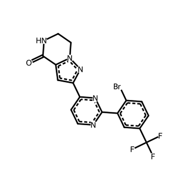 O=C1NCCn2nc(-c3ccnc(-c4cc(C(F)(F)F)ccc4Br)n3)cc21